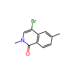 Cc1ccc2c(=O)n(C)cc(Br)c2c1